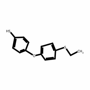 CCSc1ccc(Oc2ccc(S)cc2)cc1